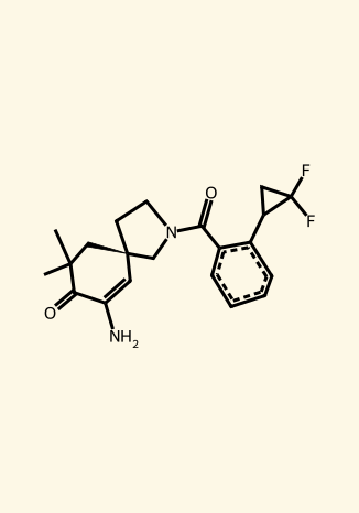 CC1(C)C[C@@]2(C=C(N)C1=O)CCN(C(=O)c1ccccc1C1CC1(F)F)C2